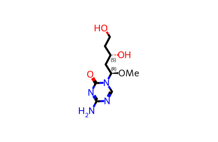 CO[C@H](C[C@@H](O)CCO)n1cnc(N)nc1=O